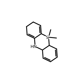 C[Si]1(C)C2=CCCC=C2NC2C=CC=CC21